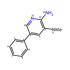 C[N]c1cc(-c2ccccc2)cnc1N